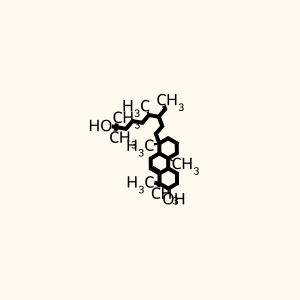 CCC(CC[C@]1(C)CCC[C@@]2(C)C3CC[C@H](O)C(C)(C)C3=CCC12)[C@H](C)CCCC(C)(C)O